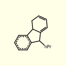 CCCC1C2=CC=CCC2c2ccccc21